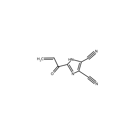 C=CC(=O)c1nc(C#N)c(C#N)[nH]1